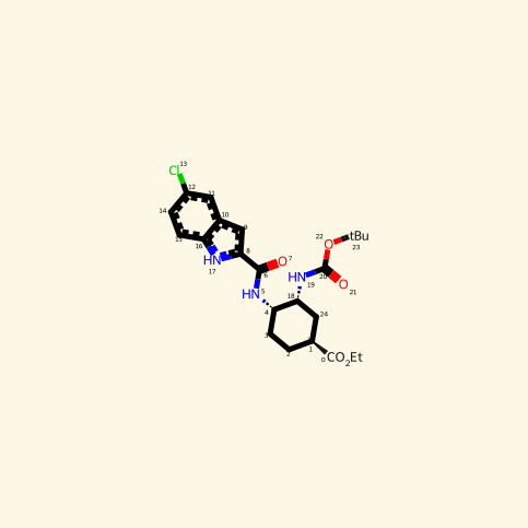 CCOC(=O)[C@H]1CC[C@H](NC(=O)c2cc3cc(Cl)ccc3[nH]2)[C@H](NC(=O)OC(C)(C)C)C1